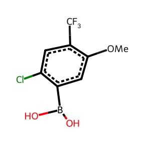 COc1cc(B(O)O)c(Cl)cc1C(F)(F)F